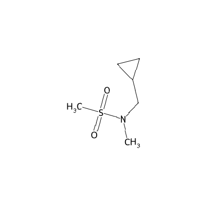 CN(CC1CC1)S(C)(=O)=O